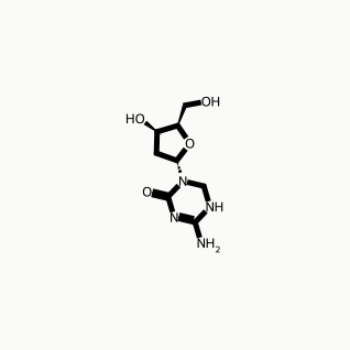 NC1=NC(=O)N([C@@H]2C[C@@H](O)[C@@H](CO)O2)CN1